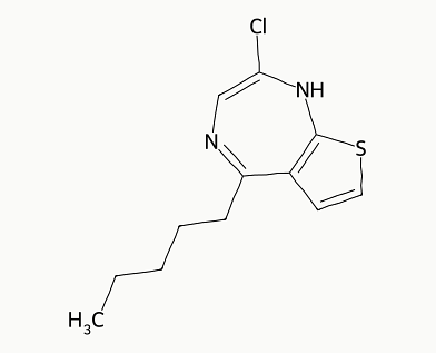 CCCCCC1=NC=C(Cl)Nc2sccc21